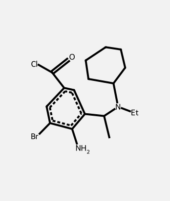 CCN(C1CCCCC1)C(C)c1cc(C(=O)Cl)cc(Br)c1N